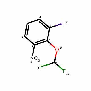 O=[N+]([O-])c1cccc(I)c1OC(F)F